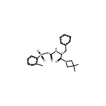 Cc1ccccc1S(=O)(=O)NC(=O)N[C@@H](Cc1ccccc1)C(=O)N1CC(C)(C)C1